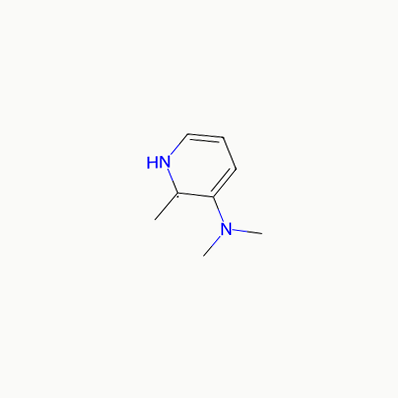 C[C]1NC=CC=C1N(C)C